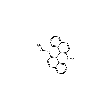 COc1ccc2ccccc2c1-c1c(OPN)ccc2ccccc12